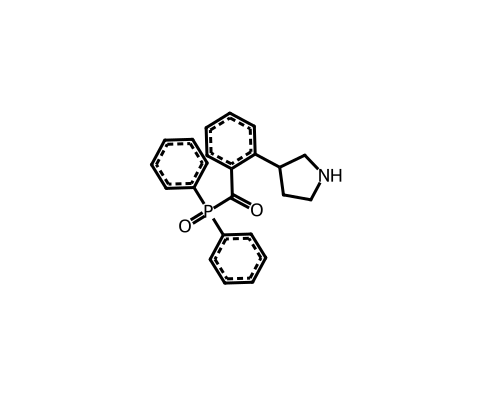 O=C(c1ccccc1C1CCNC1)P(=O)(c1ccccc1)c1ccccc1